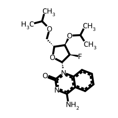 CC(C)OC[C@H]1O[C@@H](n2c(=O)nc(N)c3ccccc32)[C@H](F)[C@@H]1OC(C)C